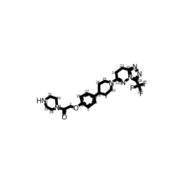 O=C(COc1ccc(C2CCN(C3=Nn4c(nnc4C(F)(F)F)CC3)CC2)cc1)N1CCNCC1